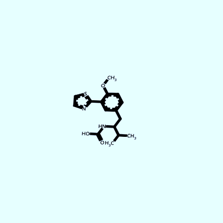 COc1ccc(CC(NC(=O)O)C(C)C)cc1-c1nccs1